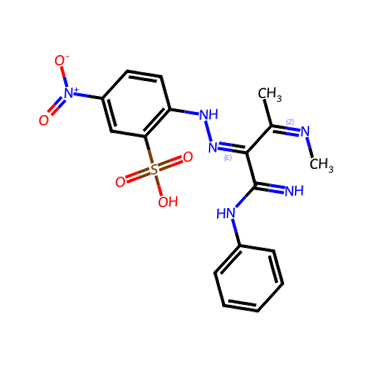 C/N=C(C)\C(=N/Nc1ccc([N+](=O)[O-])cc1S(=O)(=O)O)C(=N)Nc1ccccc1